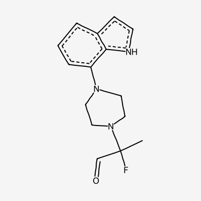 CC(F)(C=O)N1CCN(c2cccc3cc[nH]c23)CC1